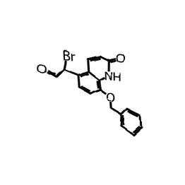 O=CC(Br)c1ccc(OCc2ccccc2)c2[nH]c(=O)ccc12